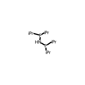 CC(C)P(NP(C(C)C)C(C)C)C(C)C